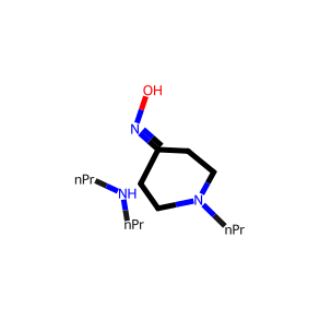 CCCN1CCC(=NO)CC1.CCCNCCC